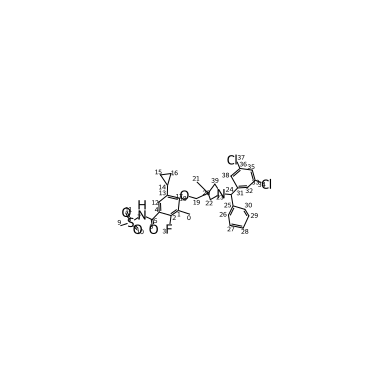 Cc1c(F)c(C(=O)NS(C)(=O)=O)cc(C2CC2)c1OCC1(C)CN(C(c2ccccc2)c2cc(Cl)cc(Cl)c2)C1